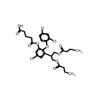 CCCC(=O)OCC(COC(=O)CCC)c1cc(Cl)cc(OC(=O)CCCC(=O)O)c1Oc1ccc(Cl)cc1Cl